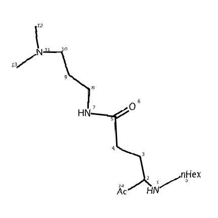 CCCCCCNC(CCC(=O)NCCCN(C)C)C(C)=O